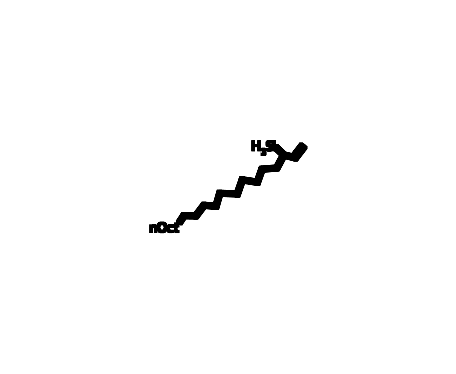 C=CC([SiH3])CCCCCCCCCCCCCCCCCC